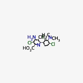 Cc1c(-c2ccc(Cl)c(N(C)C)c2F)nc(C(=O)O)c(Cl)c1N